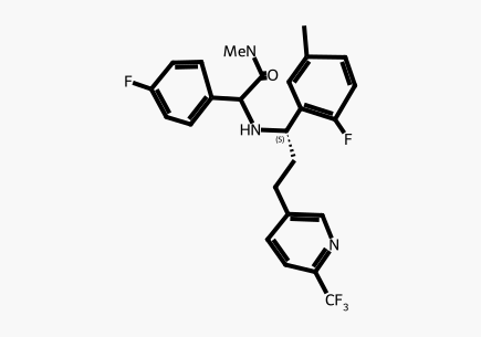 CNC(=O)C(N[C@@H](CCc1ccc(C(F)(F)F)nc1)c1cc(C)ccc1F)c1ccc(F)cc1